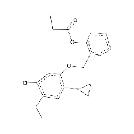 CCC(=O)Oc1ccccc1COc1cc(Cl)c(CC)cc1C1CC1